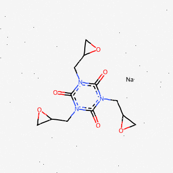 O=c1n(CC2CO2)c(=O)n(CC2CO2)c(=O)n1CC1CO1.[Na]